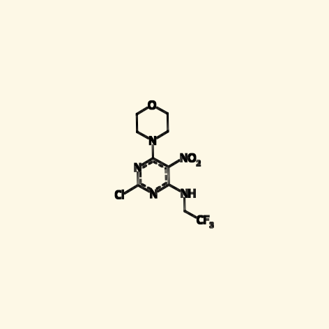 O=[N+]([O-])c1c(NCC(F)(F)F)nc(Cl)nc1N1CCOCC1